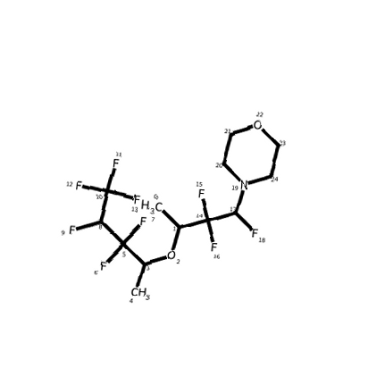 CC(OC(C)C(F)(F)C(F)C(F)(F)F)C(F)(F)C(F)N1CCOCC1